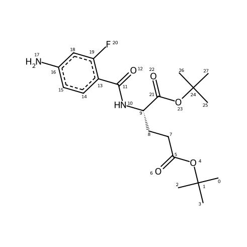 CC(C)(C)OC(=O)CC[C@H](NC(=O)c1ccc(N)cc1F)C(=O)OC(C)(C)C